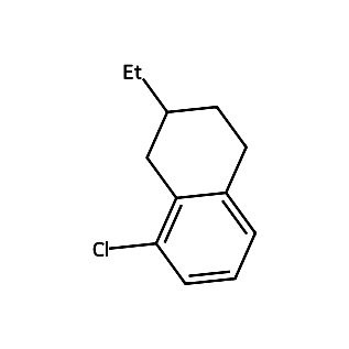 CCC1CCc2cccc(Cl)c2C1